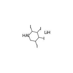 IC1[CH2][AlH][CH](I)C(I)C1I.[LiH]